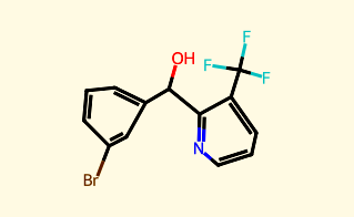 OC(c1cccc(Br)c1)c1ncccc1C(F)(F)F